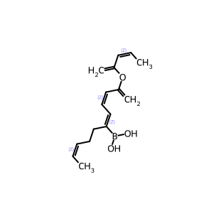 C=C(/C=C\C)OC(=C)/C=C\C=C(/CC/C=C\C)B(O)O